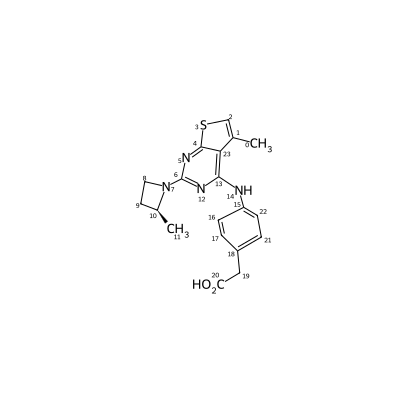 Cc1csc2nc(N3CC[C@@H]3C)nc(Nc3ccc(CC(=O)O)cc3)c12